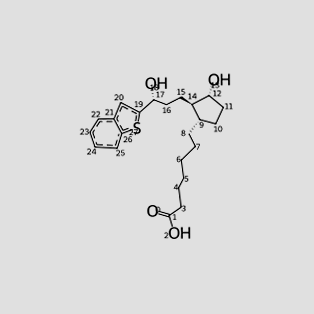 O=C(O)CCCCCC[C@H]1CC[C@@H](O)[C@@H]1CC[C@@H](O)c1cc2ccccc2s1